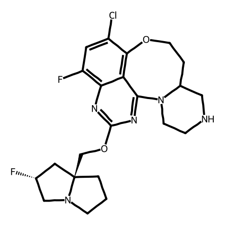 Fc1cc(Cl)c2c3c(nc(OC[C@@]45CCCN4C[C@H](F)C5)nc13)N1CCNCC1CCO2